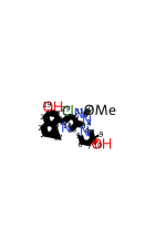 COc1nc(N2CCC[C@@](C)(O)C2)c2cnc(-c3cc(O)cc4ccc5c(c34)C5)c(Cl)c2n1